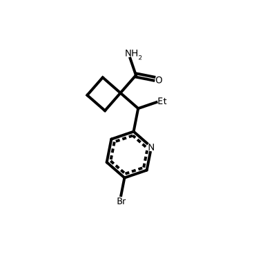 CCC(c1ccc(Br)cn1)C1(C(N)=O)CCC1